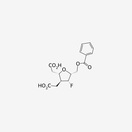 O=C(O)C[C@@H]1[C@@H](F)[C@@H](COC(=O)c2ccccc2)O[C@H]1CC(=O)O